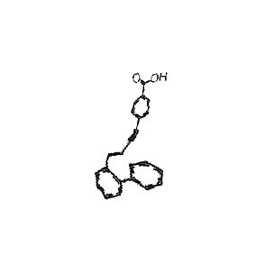 O=C(O)c1ccc(C#CC=Cc2ccccc2-c2ccccc2)cc1